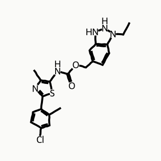 CCN1NNc2cc(COC(=O)Nc3sc(-c4ccc(Cl)cc4C)nc3C)ccc21